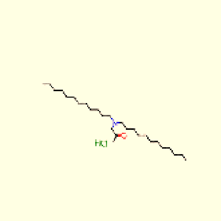 CCCCCCCCCCCCN(CCCCCCCCCCCC)CC(C)=O.Cl